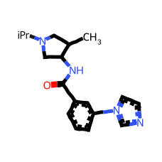 CC1CN(C(C)C)CC1NC(=O)c1cccc(-n2ccnc2)c1